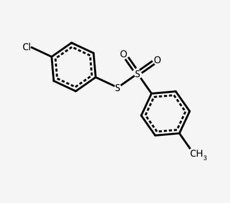 Cc1ccc(S(=O)(=O)Sc2ccc(Cl)cc2)cc1